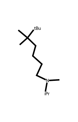 CC(C)N(C)CCCCC(C)(C)C(C)(C)C